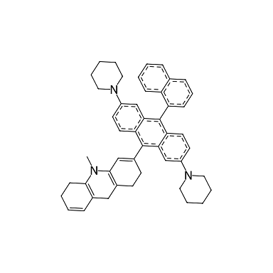 CN1C2=C(CCC(c3c4cc(N5CCCCC5)ccc4c(-c4cccc5ccccc45)c4cc(N5CCCCC5)ccc34)=C2)CC2=C1CCC=C2